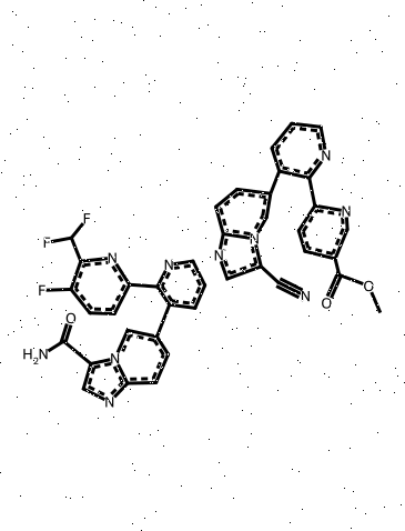 COC(=O)c1ccc(-c2ncccc2-c2ccc3ncc(C#N)n3c2)nc1.NC(=O)c1cnc2ccc(-c3cccnc3-c3ccc(F)c(C(F)F)n3)cn12